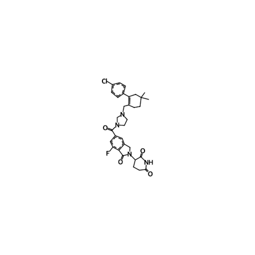 CC1(C)CCC(CN2CCN(C(=O)c3cc(F)c4c(c3)CN(C3CCC(=O)NC3=O)C4=O)C2)=C(c2ccc(Cl)cc2)C1